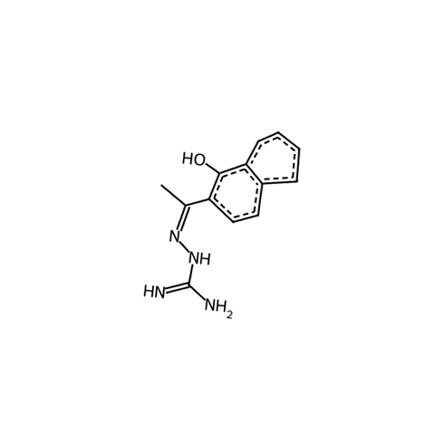 C/C(=N/NC(=N)N)c1ccc2ccccc2c1O